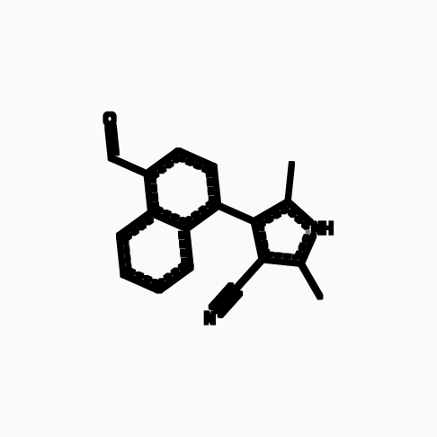 Cc1[nH]c(C)c(-c2ccc(C=O)c3ccccc23)c1C#N